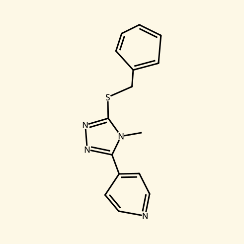 Cn1c(SCc2ccccc2)nnc1-c1ccncc1